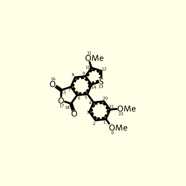 COc1ccc(-c2c3c(cc4c(OC)csc24)C(=O)OC3=O)cc1OC